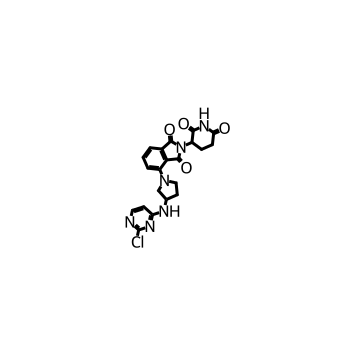 O=C1CCC(N2C(=O)c3cccc(N4CCC(Nc5ccnc(Cl)n5)C4)c3C2=O)C(=O)N1